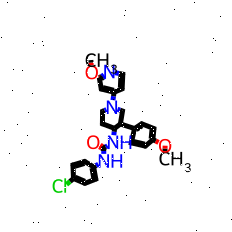 COc1ccc(C2CN(c3ccnc(OC)c3)CCC2NC(=O)Nc2ccc(Cl)cc2)cc1